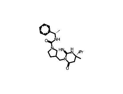 CC(C)[C@]1(C)CC(=O)N(CC2CCN(C(=O)N[C@@H](C)c3ccccc3)C2)C(=N)N1